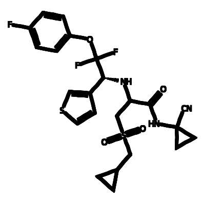 N#CC1(NC(=O)C(CS(=O)(=O)CC2CC2)N[C@H](c2ccsc2)C(F)(F)Oc2ccc(F)cc2)CC1